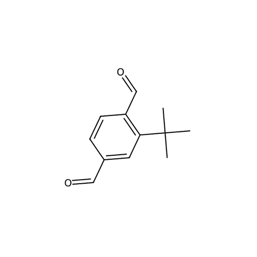 CC(C)(C)c1cc(C=O)ccc1C=O